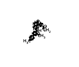 C=CC(=O)N1CC[C@@H](n2c(=O)cnc3cnc(Nc4ccc(N5CCN(C)CC5)cc4OC)nc32)C1